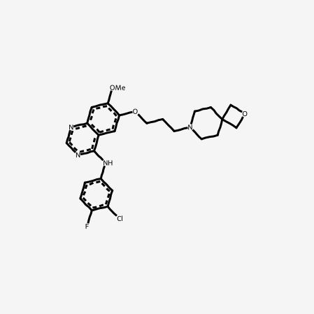 COc1cc2ncnc(Nc3ccc(F)c(Cl)c3)c2cc1OCCCN1CCC2(CC1)COC2